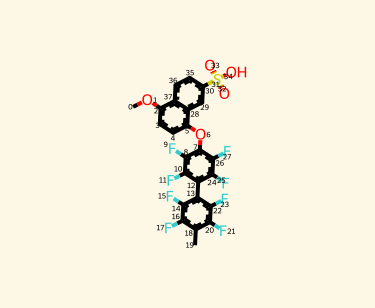 COc1ccc(Oc2c(F)c(F)c(-c3c(F)c(F)c(C)c(F)c3F)c(F)c2F)c2cc(S(=O)(=O)O)ccc12